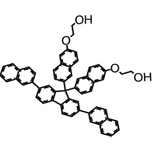 OCCOc1ccc2cc(C3(c4ccc5cc(OCCO)ccc5c4)c4cc(-c5ccc6ccccc6c5)ccc4-c4ccc(-c5ccc6ccccc6c5)cc43)ccc2c1